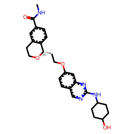 CNC(=O)c1ccc2c(c1)CCO[C@H]2CCOc1ccc2cnc(NC3CCC(O)CC3)nc2c1